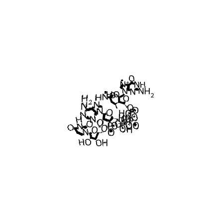 CNC(=O)C[C@H](C)[C@@H]1[C@@H](COP(=O)(O)OP(=O)(O)OP(=O)(O)OC[C@H]2O[C@@H](n3cnc4c(N)ncnc43)[C@H](OC)[C@@H]2P(=O)([O-])OC[C@H]2O[C@@H](n3ccc(=O)[nH]c3=O)[C@H](O)[C@@H]2O)OC(n2c[n+](C)c3c(=O)[nH]c(N)nc32)[C@@H]1O